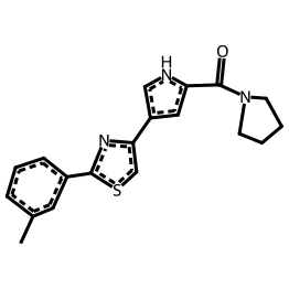 Cc1cccc(-c2nc(-c3c[nH]c(C(=O)N4CCCC4)c3)cs2)c1